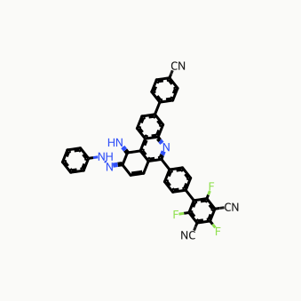 N#Cc1ccc(-c2ccc3c4c(c(-c5ccc(-c6c(F)c(C#N)c(F)c(C#N)c6F)cc5)nc3c2)C=C/C(=N/Nc2ccccc2)C4=N)cc1